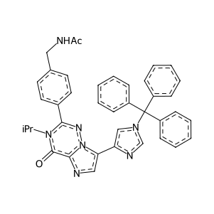 CC(=O)NCc1ccc(-c2nn3c(-c4cn(C(c5ccccc5)(c5ccccc5)c5ccccc5)cn4)cnc3c(=O)n2C(C)C)cc1